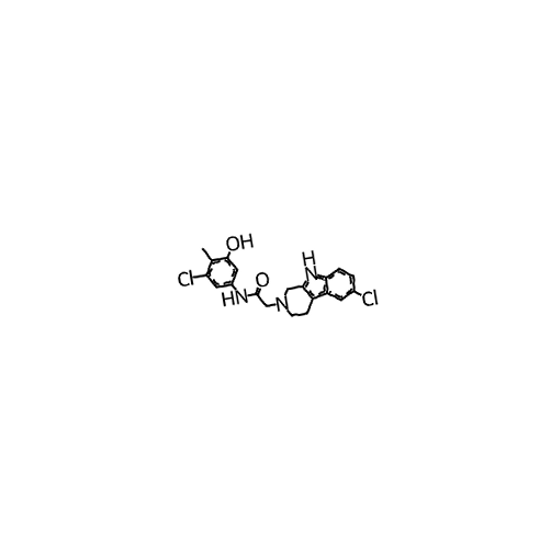 Cc1c(O)cc(NC(=O)CN2CCc3c([nH]c4ccc(Cl)cc34)C2)cc1Cl